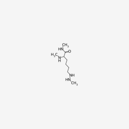 CNNCCCCC(NC)C(=O)NC